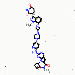 CN(C)C(=O)c1cc2cnc(Nc3ccc(N4CCN(C5CN(c6cccc7c([C@H]8CCC(=O)NC8=O)nn(C)c67)C5)CC4)cn3)nc2n1C1CCCC1